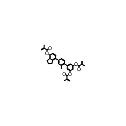 C=C(C)C(=O)Oc1cc(OC(=O)C(=C)C)cc(-c2ccc(-c3ccc(OC(=O)C(=C)C)c4c3CCC4)cc2C)c1